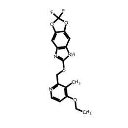 CCOc1ccnc(CSc2nc3cc4c(cc3[nH]2)OC(F)(F)O4)c1C